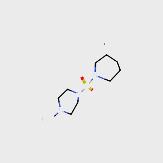 C[C@@H]1CCCN(S(=O)(=O)N2CCN(C)CC2)C1